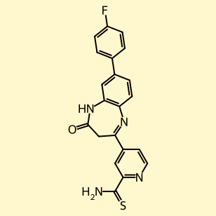 NC(=S)c1cc(C2=Nc3ccc(-c4ccc(F)cc4)cc3NC(=O)C2)ccn1